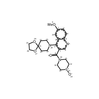 COc1ccc2ncc(C(=O)N3CC[S+]([O-])CC3)c(N3CCC4(CC3)OCCO4)c2c1